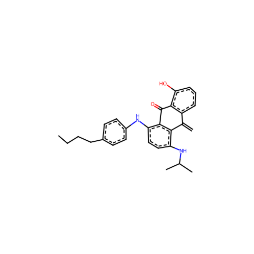 C=C1c2cccc(O)c2C(=O)c2c(Nc3ccc(CCCC)cc3)ccc(NC(C)C)c21